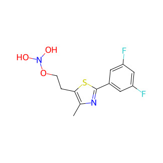 Cc1nc(-c2cc(F)cc(F)c2)sc1CCON(O)O